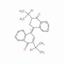 CCC(C)(C)C1=C/C(=C2/CC(C(C)(C)CC)C(=O)c3ccccc32)c2ccccc2C1=O